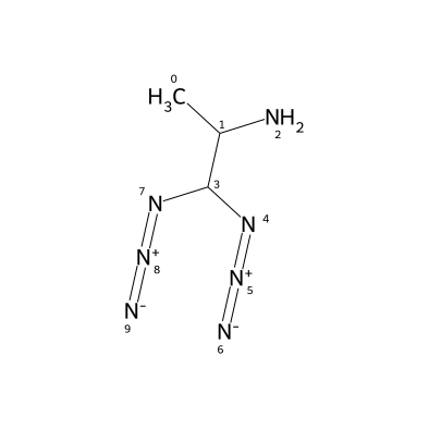 CC(N)C(N=[N+]=[N-])N=[N+]=[N-]